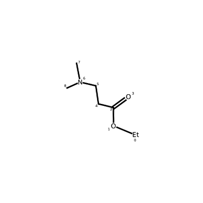 CCOC(=O)CCN(C)C